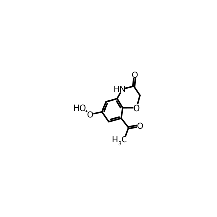 CC(=O)c1cc(OO)cc2c1OCC(=O)N2